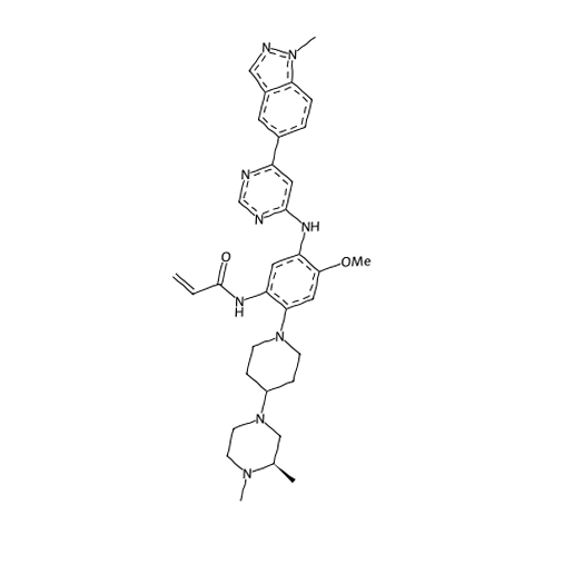 C=CC(=O)Nc1cc(Nc2cc(-c3ccc4c(cnn4C)c3)ncn2)c(OC)cc1N1CCC(N2CCN(C)[C@H](C)C2)CC1